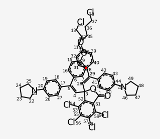 O=C1OC(C=C(c2ccc(OCCCCl)cc2)c2ccc(N3CCCC3)cc2)(C=C(c2ccc(OCCCCl)cc2)c2ccc(N3CCCC3)cc2)c2c(Cl)c(Cl)c(Cl)c(Cl)c21